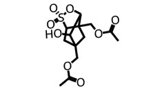 CC(=O)OCC12CC3C(COC(C)=O)(C1)C(OS3(=O)=O)C2O